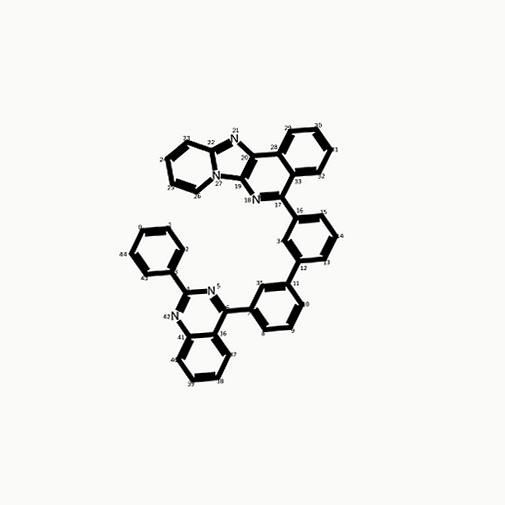 c1ccc(-c2nc(-c3cccc(-c4cccc(-c5nc6c(nc7ccccn76)c6ccccc56)c4)c3)c3ccccc3n2)cc1